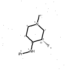 CC(C)NC1CCN(C)C[C@@H]1F